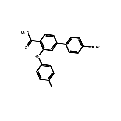 COC(=O)c1ccc(-c2ccc(NC(C)=O)cc2)cc1Nc1ccc(F)cc1